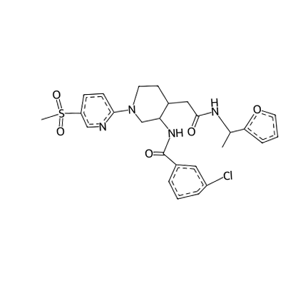 CC(NC(=O)CC1CCN(c2ccc(S(C)(=O)=O)cn2)CC1NC(=O)c1cccc(Cl)c1)c1ccco1